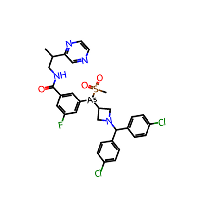 CC(CNC(=O)c1cc(F)cc([As](C2CN(C(c3ccc(Cl)cc3)c3ccc(Cl)cc3)C2)S(C)(=O)=O)c1)c1cnccn1